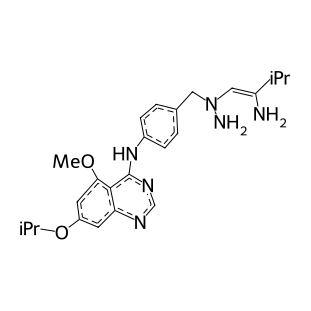 COc1cc(OC(C)C)cc2ncnc(Nc3ccc(CN(N)/C=C(\N)C(C)C)cc3)c12